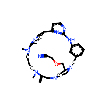 C=C1CN2CCN(Cc3cccc(c3)Nc3nccc(n3)C3=CN=C(CC3)N(C)CCCN1C)C(COCC#N)C2